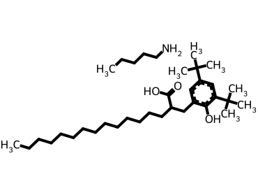 CCCCCCCCCCCCCCC(Cc1cc(C(C)(C)C)cc(C(C)(C)C)c1O)C(=O)O.CCCCCN